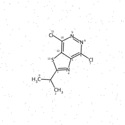 CC(C)c1nc2c(Cl)nnc(Cl)c2s1